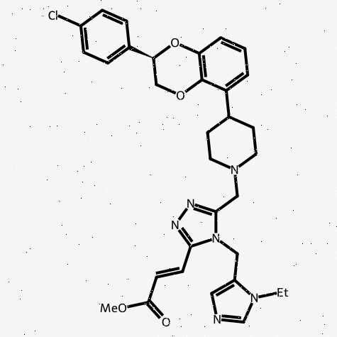 CCn1cncc1Cn1c(/C=C/C(=O)OC)nnc1CN1CCC(c2cccc3c2OC[C@@H](c2ccc(Cl)cc2)O3)CC1